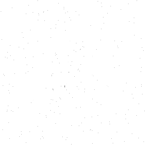 CNC(CCC(=O)NC[C@H](O)[C@@H](O)[C@H](O)[C@H](O)CO)C(=O)NC[C@H](O)[C@@H](O)[C@H](O)[C@H](O)CO